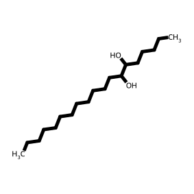 CCCCCCCCCCCCC(O)C(O)CCCCC